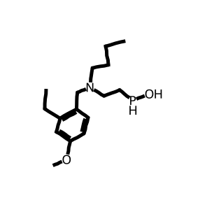 CCCCN(CCPO)Cc1ccc(OC)cc1CC